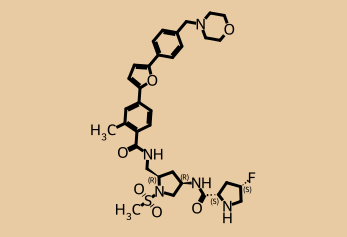 Cc1cc(-c2ccc(-c3ccc(CN4CCOCC4)cc3)o2)ccc1C(=O)NC[C@H]1C[C@@H](NC(=O)[C@@H]2C[C@H](F)CN2)CN1S(C)(=O)=O